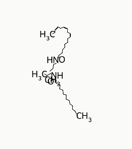 CC/C=C\C/C=C\C/C=C\CCCCCCCC(=O)NCCCC[C@H](NC(=O)CCCCCCCCCCCCCCC)C(C)C